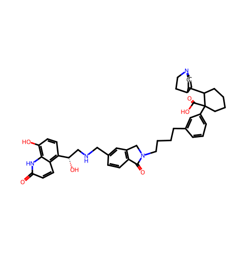 O=C1c2ccc(CNC[C@H](O)c3ccc(O)c4[nH]c(=O)ccc34)cc2CN1CCCCc1cccc(C2(C(=O)O)CCCCC2C2CN3CCC2CC3)c1